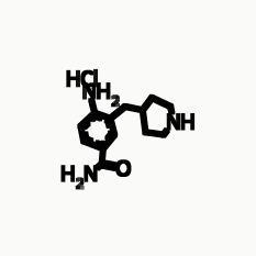 Cl.NC(=O)c1ccc(N)c(CC2CCNCC2)c1